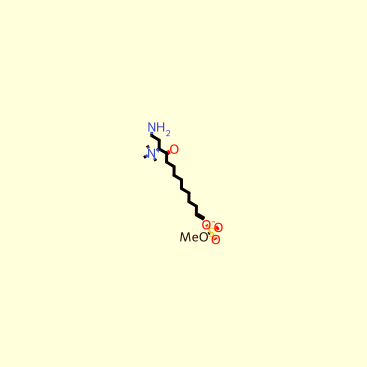 C=CCCCCCCCCC(=O)C(CCN)[N+](C)(C)C.COS(=O)(=O)[O-]